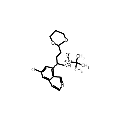 CC(C)(C)[S@+]([O-])NC(CCC1OCCCO1)c1cc(Cl)cc2ccncc12